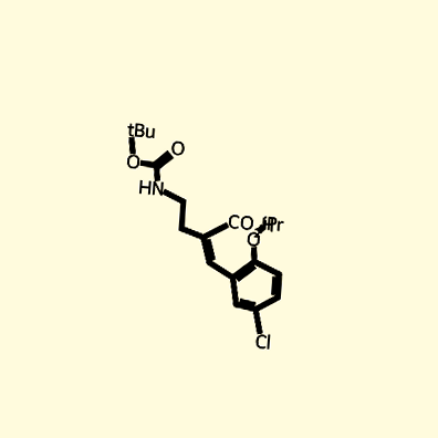 CC(C)Oc1ccc(Cl)cc1/C=C(/CCNC(=O)OC(C)(C)C)C(=O)O